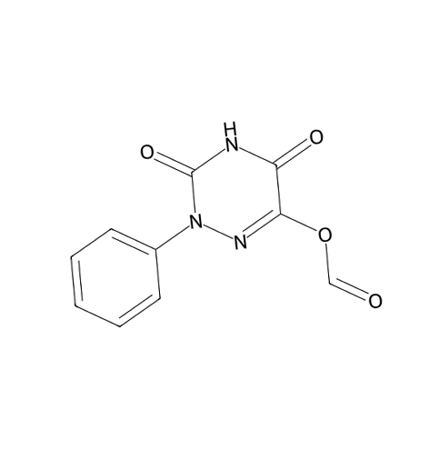 O=COc1nn(-c2ccccc2)c(=O)[nH]c1=O